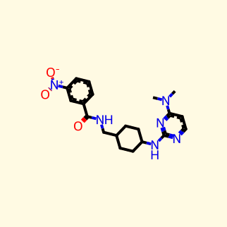 CN(C)c1ccnc(NC2CCC(CNC(=O)c3cccc([N+](=O)[O-])c3)CC2)n1